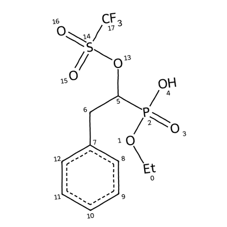 CCOP(=O)(O)C(Cc1ccccc1)OS(=O)(=O)C(F)(F)F